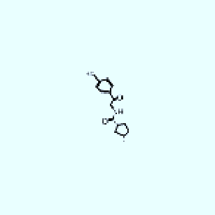 C[C@H]1CC[C@@H](C(=O)NCC(=O)c2ccc(Br)cc2)C1